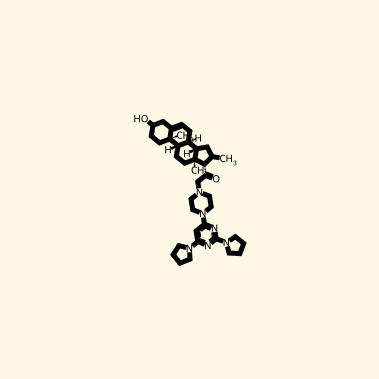 CC1C[C@H]2[C@@H]3CC=C4CC(O)CC[C@]4(C)[C@H]3CC[C@]2(C)[C@H]1C(=O)CN1CCN(c2cc(N3CCCC3)nc(N3CCCC3)n2)CC1